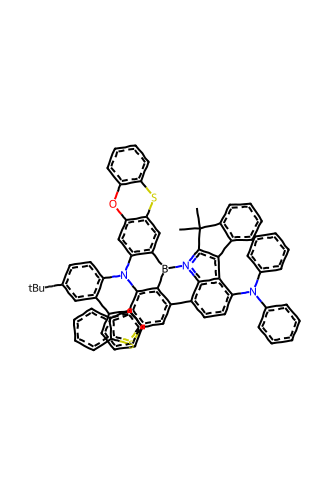 CC(C)(C)c1ccc(N2c3cc4c(cc3B3c5c(cc6sc7ccccc7c6c52)-c2ccc(N(c5ccccc5)c5ccccc5)c5c6c(n3c25)C(C)(C)c2ccccc2-6)Sc2ccccc2O4)c(-c2ccccc2)c1